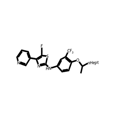 CCCCCCCC(C)Oc1ccc(Nc2nc(-c3cccnc3)c(F)s2)cc1C(F)(F)F